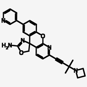 CC(C)(C#Cc1ccc2c(n1)Oc1ccc(-c3cccnc3)cc1C21COC(N)=N1)N1CCC1